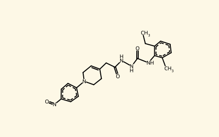 CCc1cccc(C)c1NC(=O)NNC(=O)CC1=CCN(c2ccc(N=O)cc2)CC1